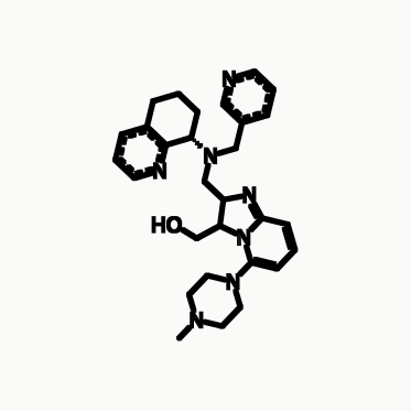 CN1CCN(C2=CC=CC3=NC(CN(Cc4cccnc4)[C@H]4CCCc5cccnc54)C(CO)N23)CC1